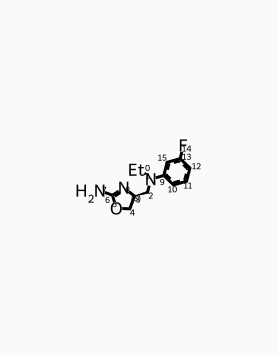 CCN(C[C@H]1COC(N)=N1)c1cccc(F)c1